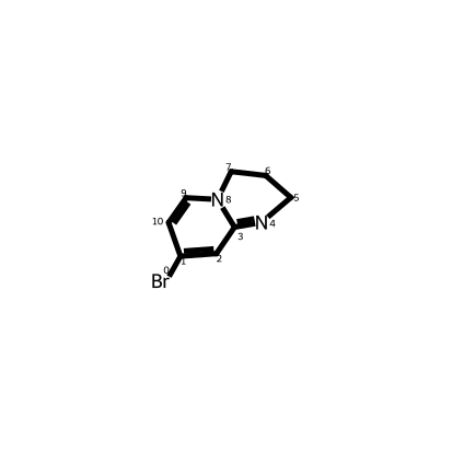 BrC1=CC2=NCCCN2C=C1